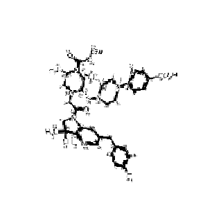 C[C@@H]1CN(c2ccc(C(=O)O)cn2)CCN1C[C@H]1CN(C(=O)OC(C)(C)C)[C@H](C)CN1CC(=O)N1CC(C)(C)c2ncc(Cc3ccc(F)cc3)cc21